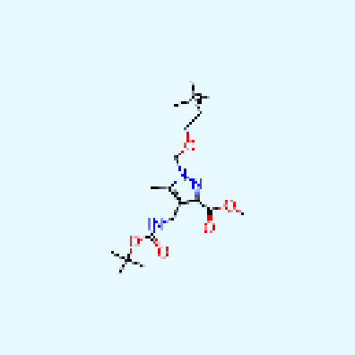 COC(=O)c1nn(COCC[Si](C)(C)C)c(C)c1CNC(=O)OC(C)(C)C